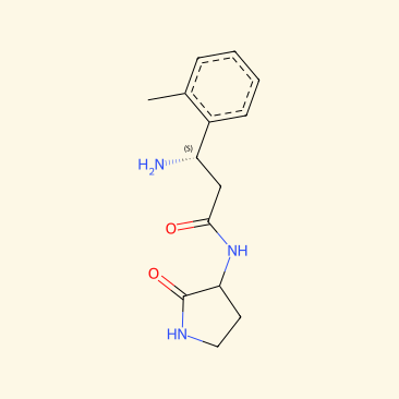 Cc1ccccc1[C@@H](N)CC(=O)NC1CCNC1=O